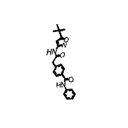 CC(C)(C)c1cc(NC(=O)Cc2ccc(C(=O)Nc3ccccc3)cc2)no1